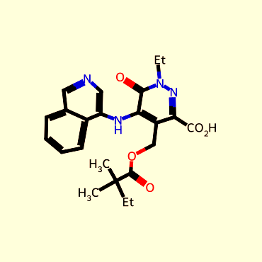 CCn1nc(C(=O)O)c(COC(=O)C(C)(C)CC)c(Nc2cncc3ccccc23)c1=O